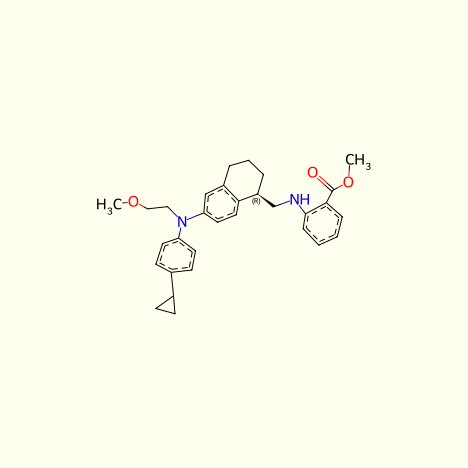 COCCN(c1ccc(C2CC2)cc1)c1ccc2c(c1)CCC[C@H]2CNc1ccccc1C(=O)OC